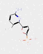 CCCc1ccc(N)nc1-c1ccc(P(=O)(O)O)o1